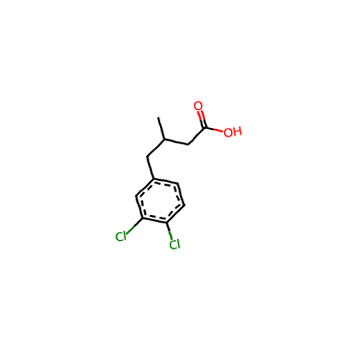 CC(CC(=O)O)Cc1ccc(Cl)c(Cl)c1